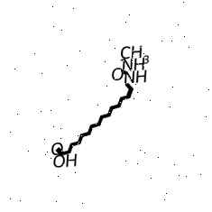 CCNC(=O)NC/C=C\CCCCCCCCCCCCC(=O)O